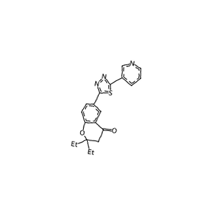 CCC1(CC)CC(=O)c2cc(-c3nnc(-c4cccnc4)s3)ccc2O1